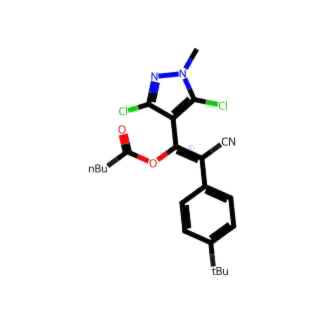 CCCCC(=O)O/C(=C(/C#N)c1ccc(C(C)(C)C)cc1)c1c(Cl)nn(C)c1Cl